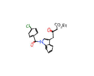 CCOC(=O)CC(=O)Cc1cn(C(=O)c2ccc(Cl)cc2)c2ccccc12